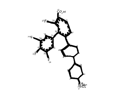 CCCCCCCCCCC1CCC(C2CCC(c3ccc(C(=O)O)c(F)c3-c3cc(F)c(F)c(F)c3)CC2)CC1